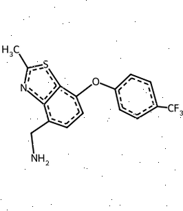 Cc1nc2c(CN)ccc(Oc3ccc(C(F)(F)F)cc3)c2s1